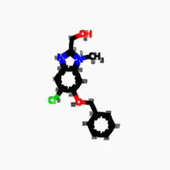 Cn1c(CO)nc2cc(Cl)c(OCc3ccccc3)cc21